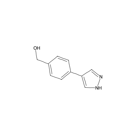 OCc1ccc(-c2cn[nH]c2)cc1